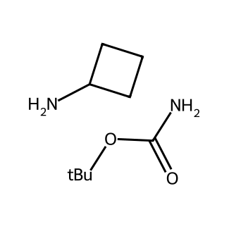 CC(C)(C)OC(N)=O.NC1CCC1